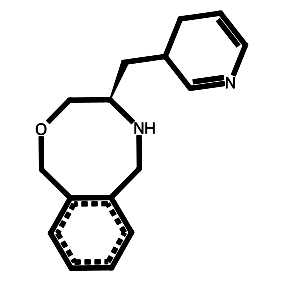 C1=CN=CC(C[C@@H]2COCc3ccccc3CN2)C1